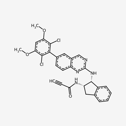 C#CC(=O)N[C@H]1Cc2ccccc2[C@H]1Nc1ncc2cc(-c3c(Cl)c(OC)cc(OC)c3Cl)ccc2n1